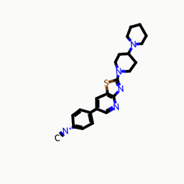 [C-]#[N+]c1ccc(-c2cnc3nc(N4CCC(N5CCCCC5)CC4)sc3c2)cc1